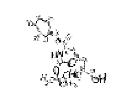 CC(C)(C)OC(=O)NC(CSCC(O)CO)C(=O)OCc1ccccc1